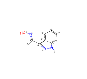 CC(=NO)c1nn(C)c2ccccc12